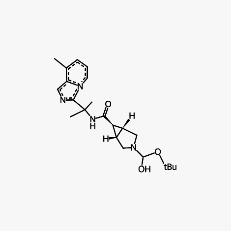 Cc1cccn2c(C(C)(C)NC(=O)[C@H]3[C@@H]4CN(C(O)OC(C)(C)C)C[C@@H]43)ncc12